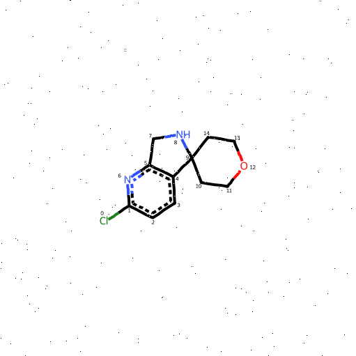 Clc1ccc2c(n1)CNC21CCOCC1